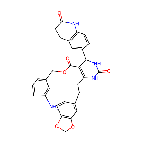 Nc1cccc(COC(=O)C2=C(CCc3ccc4c(c3)OCO4)NC(=O)NC2c2ccc3c(c2)CCC(=O)N3)c1